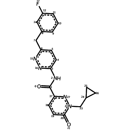 O=C(Nc1ccc(Cc2cccc(F)c2)nn1)c1ccc(=O)n(CC2CC2)n1